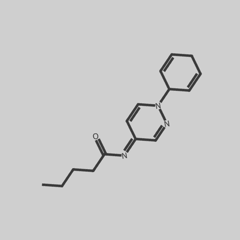 CCCCC(=O)N=c1ccn(C2C=CCC=C2)nc1